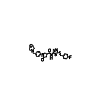 O=C(Nc1nnc(SCc2ccc(F)cc2)s1)C1CC(=O)N(c2ccc(CN3CCOCC3)cc2)C1